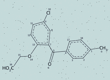 Cc1ccc(C(=O)c2cc(Cl)ccc2OCC(=O)O)cc1